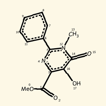 COC(=O)c1nc(-c2ccccc2)n(C)c(=O)c1O